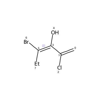 C=C(Cl)/C(O)=C(/Br)CC